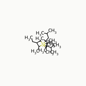 CCC1CS2(C(C)(C)CC(C)C)(C(C)(C)C(C)C)(C1C)C(C)C2C